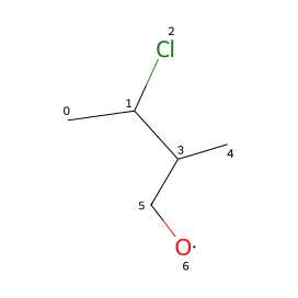 CC(Cl)C(C)C[O]